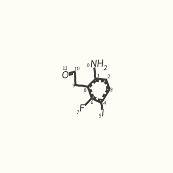 Nc1ccc(I)c(F)c1CC=O